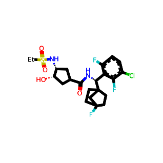 CCS(=O)(=O)N[C@@H]1CC(C(=O)N[C@H](c2c(F)ccc(Cl)c2F)C23CCC(F)(CC2)C3)C[C@@H]1O